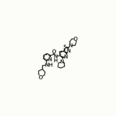 O=C(Nc1cc2sc(N3CCOCC3)nc2nc1N1CCCCC1)c1cccc(NCC2CCOCC2)n1